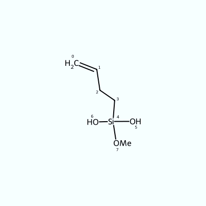 C=CCC[Si](O)(O)OC